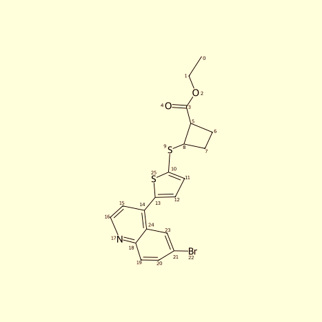 CCOC(=O)C1CCC1Sc1ccc(-c2ccnc3ccc(Br)cc23)s1